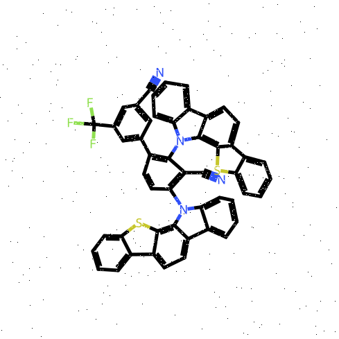 N#Cc1cc(-c2ccc(-n3c4ccccc4c4ccc5c6ccccc6sc5c43)c(C#N)c2-n2c3ccccc3c3ccc4c5ccccc5sc4c32)cc(C(F)(F)F)c1